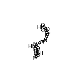 O=C1CC[C@@H](N2Cc3cc(N4CCC(CN5CC6(C5)CN(c5ccc(-c7cnc8[nH]cc(C(=O)c9c(F)ccc(NS(=O)(=O)N%10CC[C@@H](F)C%10)c9F)c8c7)cc5)C6)CC4)c(F)cc3C2=O)C(=O)N1